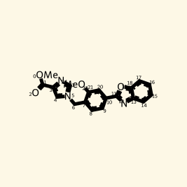 COC(=O)c1cn(Cc2ccc(-c3nc4ccccc4o3)cc2OC)cn1